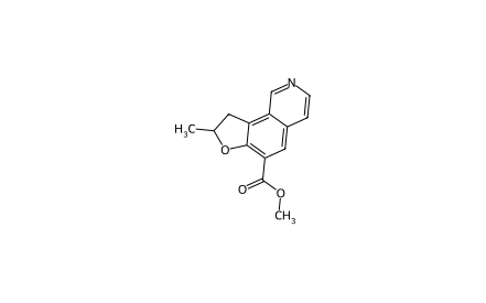 COC(=O)c1cc2ccncc2c2c1OC(C)C2